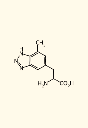 Cc1cc(CC(N)C(=O)O)cc2nn[nH]c12